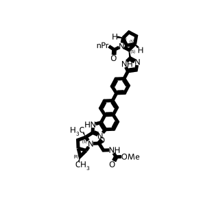 CCCC(=O)N1[C@@H]2CC[C@@H](C2)[C@H]1c1ncc(-c2ccc(-c3ccc4c(ccc5nc([C@]6(C)CC7C([C@@H]7C)N6C(=O)CNC(=O)OC)[nH]c54)c3)cc2)[nH]1